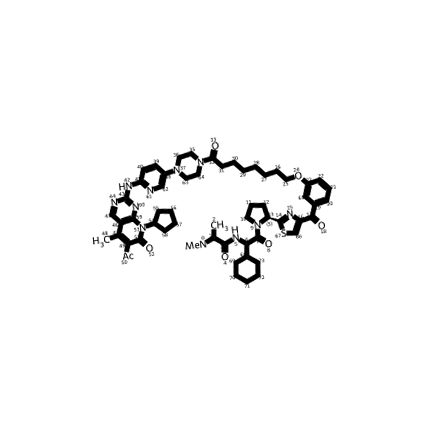 CNC(C)C(=O)NC(C(=O)N1CCC[C@H]1c1nc(C(=O)c2cccc(OCCCCCCCC(=O)N3CCN(c4ccc(Nc5ncc6c(C)c(C(C)=O)c(=O)n(C7CCCC7)c6n5)nc4)CC3)c2)cs1)C1CCCCC1